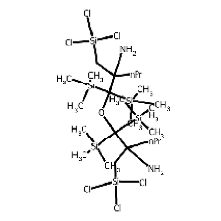 CCCC(N)(C[Si](Cl)(Cl)Cl)C(OC(C(N)(CCC)C[Si](Cl)(Cl)Cl)([Si](C)(C)C)[Si](C)(C)C)([Si](C)(C)C)[Si](C)(C)C